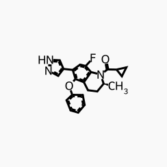 C[C@H]1CCc2c(Oc3ccccc3)c(-c3cn[nH]c3)cc(F)c2N1C(=O)C1CC1